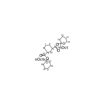 CCCCCCCCC1(OC(=O)C2CCCC(C(=O)OC3(CCCCCCCC)CCCCC3)C2)CCCCC1